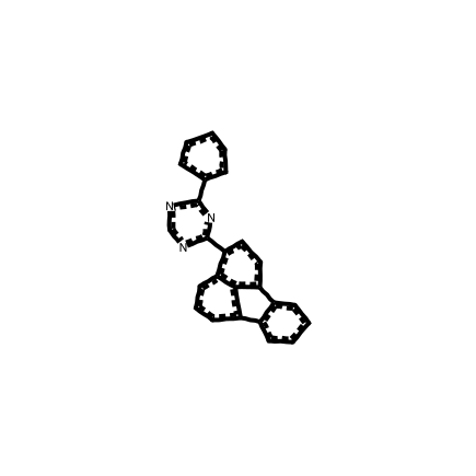 c1ccc(-c2ncnc(-c3ccc4c5c(cccc35)-c3ccccc3-4)n2)cc1